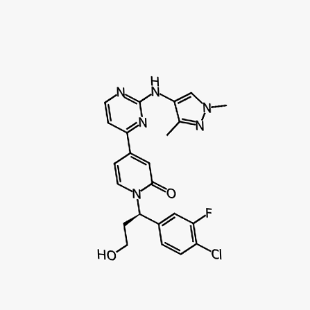 Cc1nn(C)cc1Nc1nccc(-c2ccn([C@H](CCO)c3ccc(Cl)c(F)c3)c(=O)c2)n1